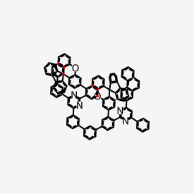 c1ccc(-c2cccc(-c3cc(-c4cccc(-c5cccc(-c6ccc(-c7nc(-c8ccccc8)cc(-c8ccc9c(ccc%10ccccc%109)c8)n7)c(-c7ccc8c(c7)Oc7ccccc7C87c8ccccc8-c8ccccc87)c6)c5)c4)nc(-c4ccccc4-c4ccc5c(c4)Oc4ccccc4C54c5ccccc5-c5ccccc54)n3)c2)cc1